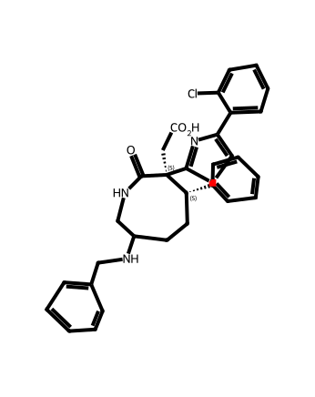 O=C(O)C[C@@]1(c2nc(-c3ccccc3Cl)cs2)C(=O)NCC(NCc2ccccc2)CC[C@H]1c1ccccc1